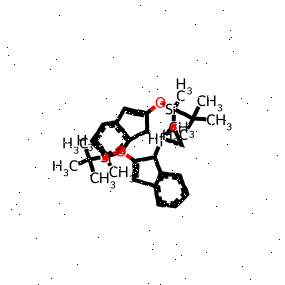 CC(C)(C)[Si](C)(C)OC1=Cc2ccccc2[CH]1[Hf]1([CH]2C(O[Si](C)(C)C(C)(C)C)=Cc3ccccc32)[CH2][CH2]1